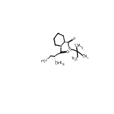 CC[C@@H](C)C(=O)N1CCCC[C@H]1C(=O)OC(C)(C)C